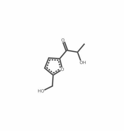 CC(O)C(=O)c1ccc(CO)o1